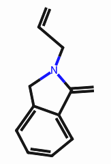 C=CCN1Cc2ccccc2C1=C